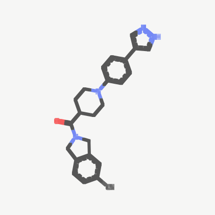 N#Cc1ccc2c(c1)CN(C(=O)C1CCN(c3ccc(-c4cn[nH]c4)cc3)CC1)C2